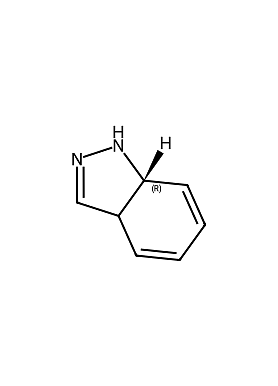 C1=CC2C=NN[C@@H]2C=C1